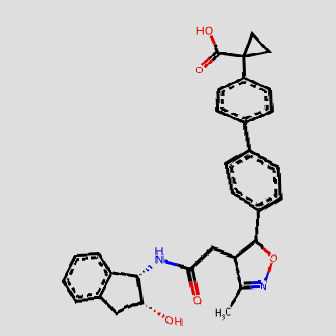 CC1=NOC(c2ccc(-c3ccc(C4(C(=O)O)CC4)cc3)cc2)C1CC(=O)N[C@H]1c2ccccc2C[C@H]1O